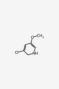 COC1=[C]NCC(Cl)=C1